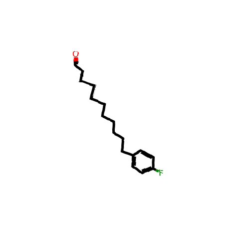 O=CCCCCCCCCCCc1ccc(F)cc1